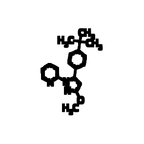 COc1cc(-c2ccc(C(C)(C)C)cc2)n(-c2ccccn2)n1